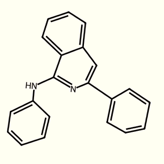 c1ccc(Nc2nc(-c3ccccc3)cc3ccccc23)cc1